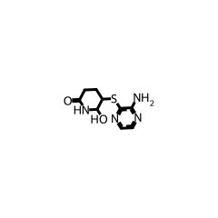 Nc1nccnc1SC1CCC(=O)NC1O